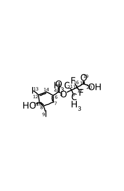 CC(C)(OC(=O)c1cc(I)c(O)c(I)c1)C(F)(F)C(=O)O